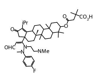 CNCCN(/C(=C\C=O)C12CC[C@]3(C)C(CCC4C5(C)CCC(OC(=O)CC(C)(C)C(=O)O)C(C)(C)C5CCC43C)C1=C(C(C)C)C(=O)C2)N(C)c1ccc(F)cc1